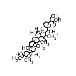 CC[C@@H](C(=O)O)C1CC[C@H](C)C([C@@H](C)[C@H](O)[C@H](C)C(=O)[C@H](CC)C2COC3(C=C[C@@H](O)[C@@]4(CC[C@@](C)(C5CC[C@](O)(CC)[C@H](C)O5)O4)O3)[C@H](C)[C@@H]2C)O1